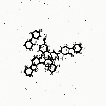 N#CC1C=C(C2C=C(C3CCC4C(C3)SC3=CC=CCC34)NC(C3C=CCCC3)N2)C(N2C3C=Cc4c(oc5c4C=CCC5)C3C3CCCCC32)CC1N1c2ccccc2C2CCCCC21